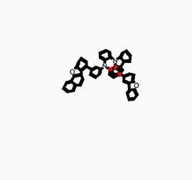 c1cc(-c2cccc3oc4c5ccccc5ccc4c23)cc(N(c2ccc(-c3ccc4oc5ccccc5c4c3)cc2)c2ccccc2-n2c3ccccc3c3ccccc32)c1